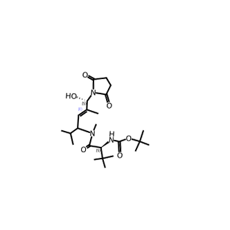 C/C(=C\C(C(C)C)N(C)C(=O)[C@@H](NC(=O)OC(C)(C)C)C(C)(C)C)[C@H](O)N1C(=O)CCC1=O